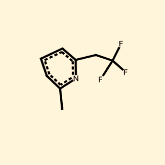 Cc1cccc(CC(F)(F)F)n1